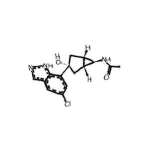 CC(=O)N[C@H]1[C@@H]2C[C@@](O)(c3cc(Cl)cc4cn[nH]c34)C[C@@H]21